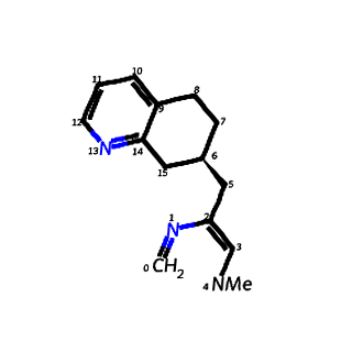 C=N/C(=C\NC)C[C@@H]1CCc2cccnc2C1